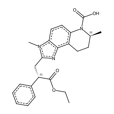 CCOC(=O)[C@@H](Cc1nc2c3c(ccc2n1C)N(C(=O)O)[C@@H](C)CC3)c1ccccc1